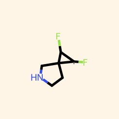 F[C]1C(F)C12CCNC2